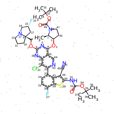 C[C@@H]1[C@H](Oc2nc(OC[C@@]34CCCN3C[C@H](F)C4)nc3c(Cl)c(-c4ccc(F)c5sc(NC(=O)OC(C)(C)C)c(C#N)c45)ncc23)CCN1C(=O)OC(C)(C)C